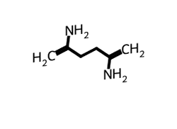 C=C(N)CCC(=C)N